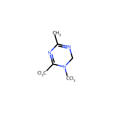 CC1=NCN(C(Cl)(Cl)Cl)C(C(Cl)(Cl)Cl)=N1